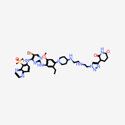 CCc1cc(Nc2ncc(Br)c(Nc3ccc4nccnc4c3P(C)(C)=O)n2)c(OC)cc1N1CCC(NCCNCCn2cc(C3CCC(=O)NC3=O)nn2)CC1